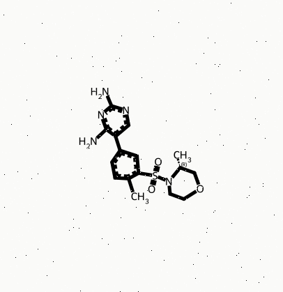 Cc1ccc(-c2cnc(N)nc2N)cc1S(=O)(=O)N1CCOC[C@H]1C